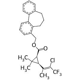 CC(=C(Cl)C(F)(F)F)[C@@H]1[C@H](C(=O)OCc2cccc3c2CCCc2ccccc2-3)C1(C)C